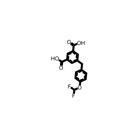 O=C(O)c1cc(Cc2ccc(OC(F)F)cc2)cc(C(=O)O)c1